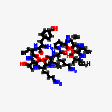 CC[C@H](C)[C@H](NC(=O)[C@@H]1CCCN1C(=O)[C@H](CCCCN)NC(=O)[C@H](CC(C)C)NC(=O)[C@H](CCCCN)NC(=O)[C@@H](NC(=O)[C@H](CC(C)C)NC(=O)[C@@H](N)Cc1ccc(O)cc1)[C@@H](C)O)C(=O)N[C@@H](CC(C)C)C(=O)N[C@H](C(=O)O)[C@@H](C)O